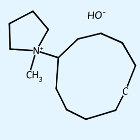 C[N+]1(C2CCCCCCCCC2)CCCC1.[OH-]